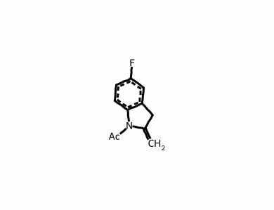 C=C1Cc2cc(F)ccc2N1C(C)=O